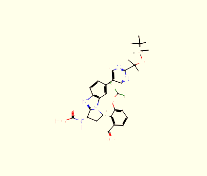 CC(C)(O[Si](C)(C)C(C)(C)C)c1ncc(-c2ccc3nc4n(c3c2)[C@@H](c2c(C=O)cccc2OC(F)F)C[C@H]4NC(=O)O)cn1